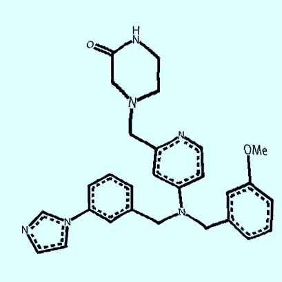 COc1cccc(CN(Cc2cccc(-n3ccnc3)c2)c2ccnc(CN3CCNC(=O)C3)c2)c1